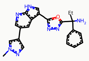 CCC(N)(c1ccccc1)c1nnc(-c2c[nH]c3ncc(-c4cnn(C)c4)cc23)o1